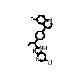 CCC(c1nc2ncc(Cl)cc2[nH]1)C1CCC(c2ccnc3ccc(F)cc23)CC1